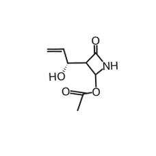 C=C[C@@H](O)C1C(=O)NC1OC(C)=O